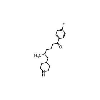 CN(CCCC(=O)c1ccc(F)cc1)CC1CCNCC1